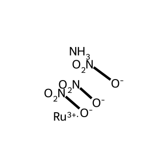 N.O=[N+]([O-])[O-].O=[N+]([O-])[O-].O=[N+]([O-])[O-].[Ru+3]